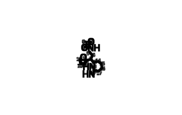 CS(=O)(=O)NCCC(c1ccco1)C1CCCCC(=N)N1